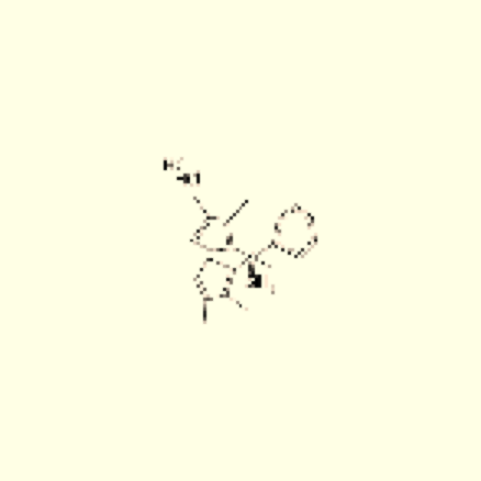 CC1=CC[C]([Zr]([CH3])(=[SiH2])([C]2=C(C)C(C)=CC2)[c]2ccccc2)=C1C.Cl.Cl